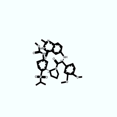 COC(=O)Nc1ccc(S(=O)(=O)C(C)C)c([C@H]2CCCN2C(=O)[C@H](Nc2ccc3nc(C)[nH]c(=O)c3c2)c2ccc(OC)c(OC)c2)c1